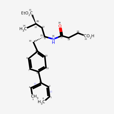 C/C=C\C(=C/C)c1ccc(C[C@H](C[C@@H](C)C(=O)OCC)NC(=O)CCC(=O)O)cc1